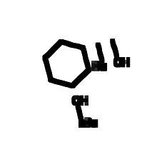 C1CCCCC1.CCC(C)C.CCCCO.CO